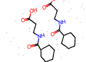 O=C(O)CCNC(=O)C1CCCCC1.O=C(O)CCNC(=O)C1CCCCC1